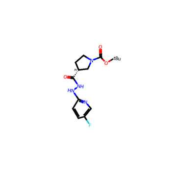 CC(C)(C)OC(=O)N1CC[C@@H](C(=O)NNc2ccc(F)cn2)C1